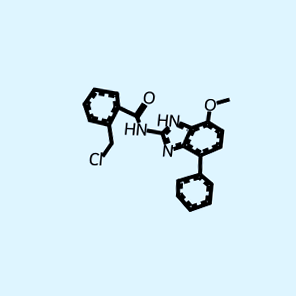 COc1ccc(-c2ccccc2)c2nc(NC(=O)c3ccccc3CCl)[nH]c12